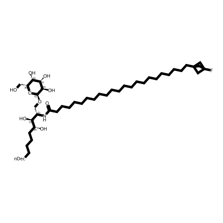 CCCCCCCCCCCCCC[C@@H](O)[C@@H](O)[C@H](CO[C@H]1O[C@H](CO)[C@H](O)[C@H](O)[C@H]1O)NC(=O)CCCCCCCCCCCCCCCCCCCCCCC12CC(F)(C1)C2